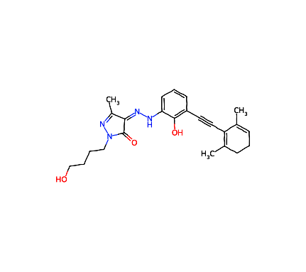 CC1=CCCC(C)=C1C#Cc1cccc(N/N=C2\C(=O)N(CCCCO)N=C2C)c1O